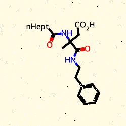 CCCCCCCC(=O)NC(C)(CC(=O)O)C(=O)NCCc1ccccc1